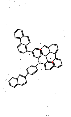 C1=CC2=CC=CC(c3ccccc3N(c3ccc(-c4ccc5ccccc5c4)cc3)c3cccc(-c4cccc5c4ccc4ccccc45)c3)C2C(c2ccccc2)=C1